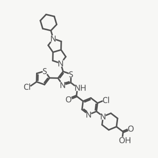 O=C(Nc1nc(-c2cc(Cl)cs2)c(N2CC3CN(C4CCCCC4)CC3C2)s1)c1cnc(N2CCC(C(=O)O)CC2)c(Cl)c1